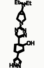 CCN(CC)C1C2CN(c3ncc(-c4ccc(-c5cn[nH]c5)cc4O)nn3)CC21